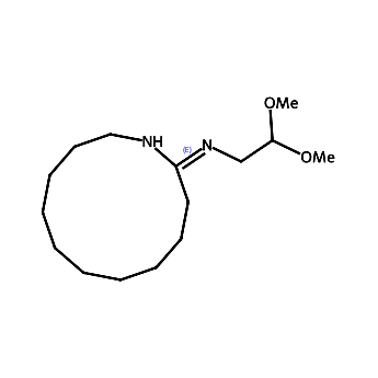 COC(C/N=C1\CCCCCCCCCCN1)OC